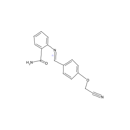 N#CCOc1ccc(/C=N/c2ccccc2C(N)=O)cc1